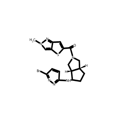 Cn1cc2sc(C(=O)N3C[C@@H]4CC[C@@H](Nc5ccc(Br)nn5)[C@@H]4C3)cc2n1